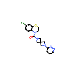 O=C(N1CC2(C1)CN(c1cccnn1)C2)N1CCSc2cc(Cl)ccc21